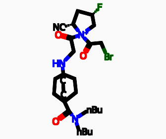 CCCCN(CCCC)C(=O)C12CCC(NCC(=O)[N+]3(C(=O)CBr)C[C@@H](F)C[C@H]3C#N)(CC1)CC2